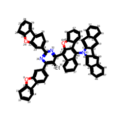 CCc1c(-c2ccc3c(c2)oc2ccccc23)nc(-c2ccc3c(c2)oc2ccccc23)nc1-c1c2ccccc2c(-n2c3cc4ccccc4cc3c3cc4ccccc4cc32)c2c1oc1ccccc12